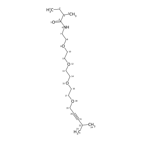 CCC(C)C(=O)NCCOCCOCCOCCOCC#CC(C)C